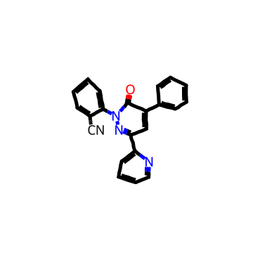 N#Cc1ccccc1-n1nc(-c2ccccn2)cc(-c2ccccc2)c1=O